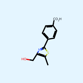 Cc1sc(-c2ccc(C(=O)O)cc2)nc1CO